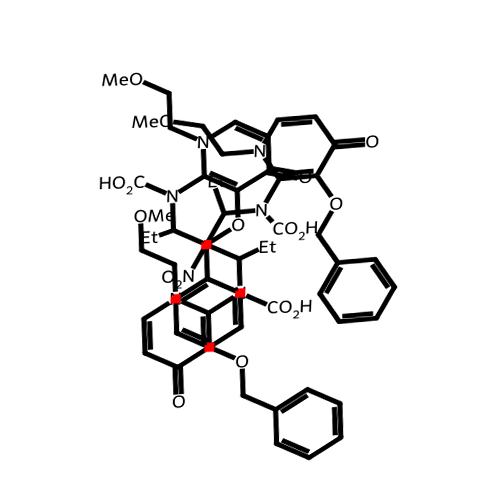 CCC(N(C(=O)O)c1c(OCc2ccccc2)c(=O)ccn1CCOC)C(C(CC)N(C(=O)O)c1c(OCc2ccccc2)c(=O)ccn1CCOC)(C(CC)N(C(=O)O)c1c(OCc2ccccc2)c(=O)ccn1CCOC)[N+](=O)[O-]